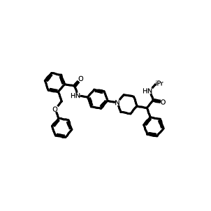 CC(C)NC(=O)C(c1ccccc1)C1CCN(c2ccc(NC(=O)c3ccccc3COc3ccccc3)cc2)CC1